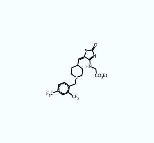 CCOC(=O)CNC1=NC(=O)SC1=CC1CCN(Cc2ccc(C(F)(F)F)cc2C(F)(F)F)CC1